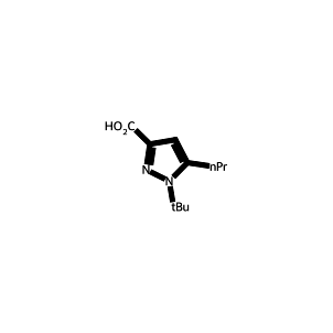 CCCc1cc(C(=O)O)nn1C(C)(C)C